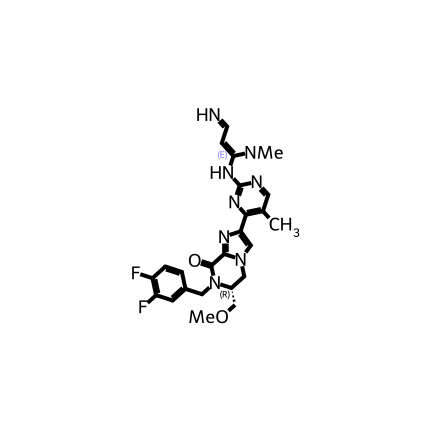 CN/C(=C\C=N)Nc1ncc(C)c(-c2cn3c(n2)C(=O)N(Cc2ccc(F)c(F)c2)[C@@H](COC)C3)n1